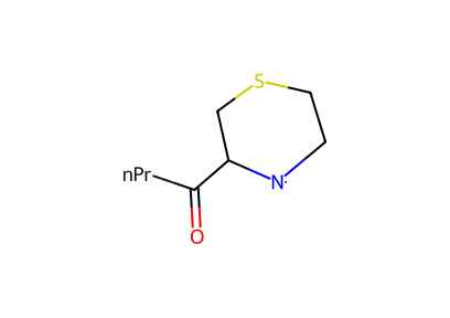 CCCC(=O)C1CSCC[N]1